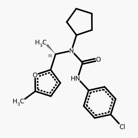 Cc1ccc([C@H](C)N(C(=O)Nc2ccc(Cl)cc2)C2CCCC2)o1